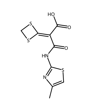 Cc1csc(NC(=O)C(C(=O)O)=C2SCS2)n1